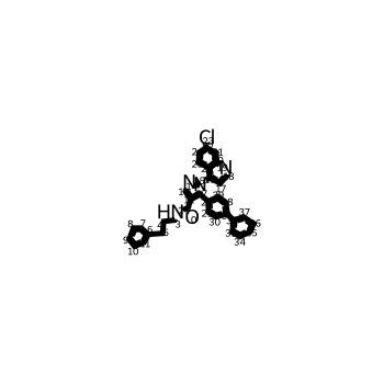 O=C(NCCCc1ccccc1)c1cnn(-c2ccnc3cc(Cl)ccc23)c1-c1ccc(-c2ccccc2)cc1